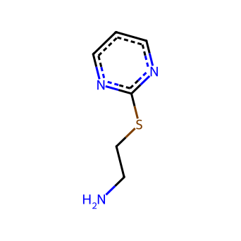 NCCSc1ncccn1